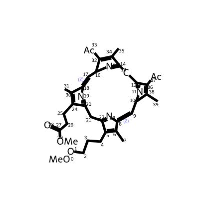 COOCCCC1=C(C)/C2=C/C3N=C(CC4=NC(/C=C5\N=C(CC1=N2)C(CCC(=O)OC)=C5C)C(C(C)=O)=C4C)C(C(C)=O)=C3C